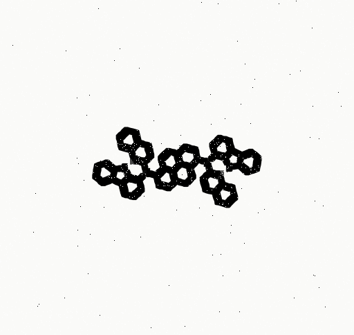 C1=CC(N(c2ccc3ccccc3n2)c2cccc3c2sc2ccccc23)C2=CCc3ccc(N(c4ccc5ccccc5n4)c4cccc5c4sc4ccccc45)c4ccc1c2c34